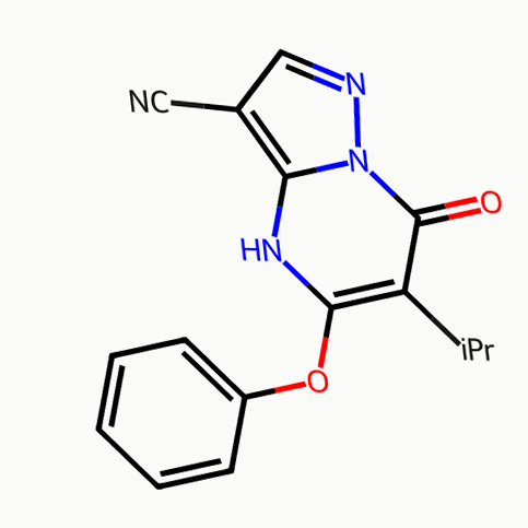 CC(C)c1c(Oc2ccccc2)[nH]c2c(C#N)cnn2c1=O